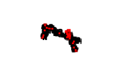 CC(C)(C)OC(=O)N(CCCCOC(=O)c1ccc(COc2cccc(C(NC(=O)O[C@H]3CN4CCC3CC4)c3ccccc3)c2)o1)C[C@H](O[Si](C)(C)C(C)(C)C)c1ccc(OCc2ccccc2)c2[nH]c(=O)ccc12